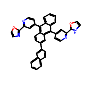 C1=COC(c2cc(-c3c4ccccc4c(-c4ccnc(-c5ncco5)c4)c4ccc(-c5ccc6ccccc6c5)cc34)ccn2)N1